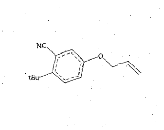 C=CCOc1ccc(C(C)(C)C)c(C#N)c1